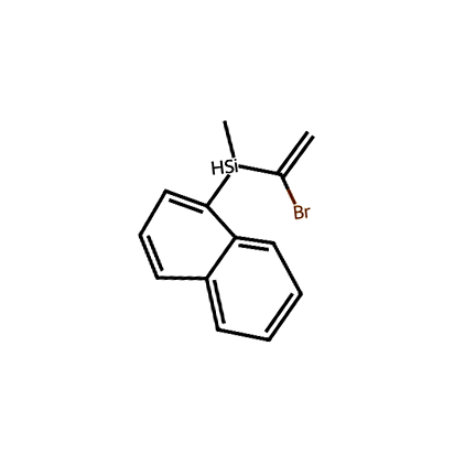 C=C(Br)[SiH](C)c1cccc2ccccc12